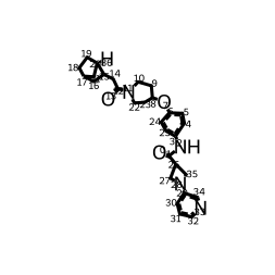 O=C(Nc1ccc(OC2CCN(C(=O)CC3CC4CC[C@H]3C4)CC2)cc1)C1CN(c2cccnc2)C1